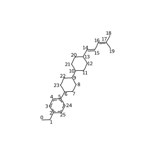 CCc1ccc(C2CCC(C3CCC(/C=C/C=C(C)C)CC3)CC2)cc1